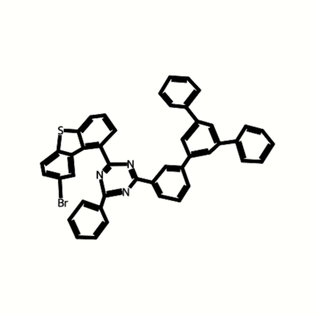 Brc1ccc2sc3cccc(-c4nc(-c5ccccc5)nc(-c5cccc(-c6cc(-c7ccccc7)cc(-c7ccccc7)c6)c5)n4)c3c2c1